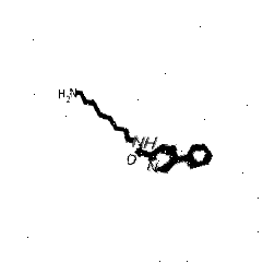 NCCCCCCCCNC(=O)c1ccc(-c2ccccc2)cn1